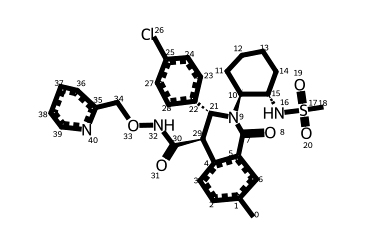 Cc1ccc2c(c1)C(=O)N([C@H]1CCCC[C@@H]1NS(C)(=O)=O)[C@@H](c1ccc(Cl)cc1)[C@@H]2C(=O)NOCc1ccccn1